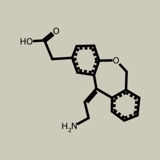 NC/C=C1\c2ccccc2COc2ccc(CC(=O)O)cc21